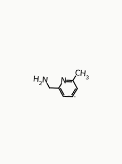 Cc1c[c]cc(CN)n1